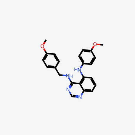 COc1ccc(CNc2ncnc3cccc(Nc4ccc(OC)cc4)c23)cc1